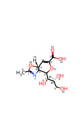 CC1=NC2C([C@H](O)[C@H](O)CO)OC(C(=O)O)=C[C@H]2O1